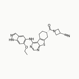 CCOc1cc2[nH]ncc2cc1Nc1ncnc2sc3c(c12)CC[C@H](C(=O)N1CC(C#N)C1)C3